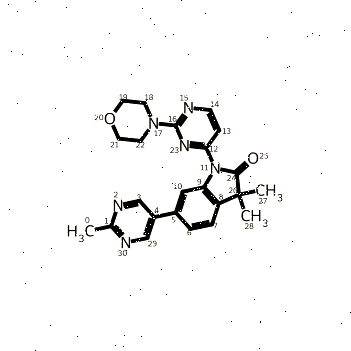 Cc1ncc(-c2ccc3c(c2)N(c2ccnc(N4CCOCC4)n2)C(=O)C3(C)C)cn1